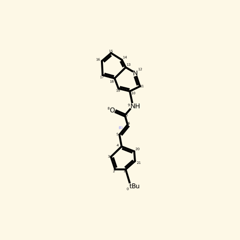 CC(C)(C)c1ccc(/C=C/C(=O)Nc2cnc3ccccc3c2)cc1